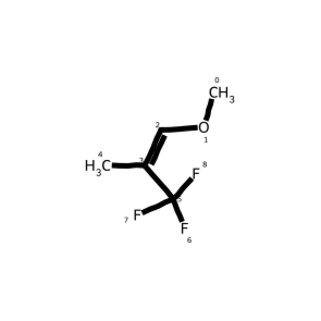 COC=C(C)C(F)(F)F